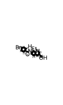 CCc1c(NC(=O)c2ccc(Br)cc2)ccc2cc(CO)cnc12